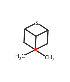 CC(C)C1C2CCCC1S2